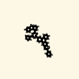 c1ccc(-c2nc(-c3ccc(-c4ccc5oc(-c6ccccc6)nc5c4)c(-c4ccccc4)c3)nc(-c3cccc4sc5ccccc5c34)n2)cc1